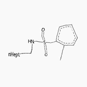 CCCCCCCCNS(=O)(=O)c1ccccc1C